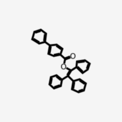 O=C(OC(=C(c1ccccc1)c1ccccc1)c1ccccc1)c1ccc(-c2ccccc2)cc1